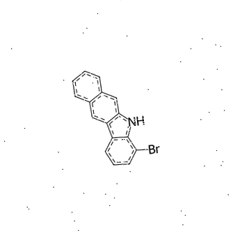 Brc1cccc2c1[nH]c1cc3ccccc3cc12